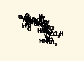 CC[C@H](C)[C@H](N)C(=O)N[C@@H](C)C(=O)N[C@@H](Cc1c[nH]c2ccccc12)C(=O)N[C@@H](CC(C)C)C(=O)N[C@H](C(=O)N(CC(=O)N[C@@H](CCCNC(=N)N)C(=O)NCC(=O)O)C(=O)OCc1ccccc1)C(C)C